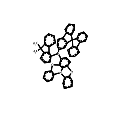 CC1(C)c2ccccc2-c2c(N(c3ccc4c(c3)C3(c5ccccc5-c5ccccc53)c3ccccc3-4)c3ccc4c5c3Oc3ccccc3N5c3ccccc3O4)cccc21